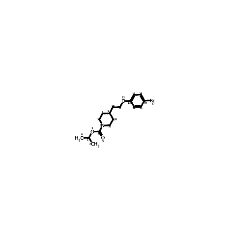 CC(C)OC(=O)N1CCC(CCOc2ccc(Br)cc2)CC1